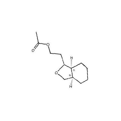 CC(=O)OCCC1OC[C@@H]2CCCC[C@H]12